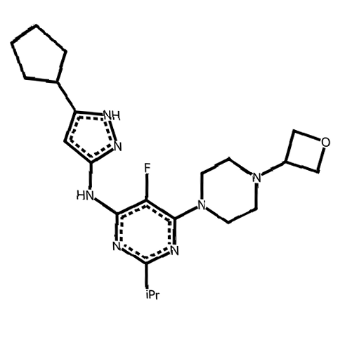 CC(C)c1nc(Nc2cc(C3CCCC3)[nH]n2)c(F)c(N2CCN(C3COC3)CC2)n1